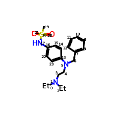 CCN(CC)CCN(Cc1ccccc1)c1ccc(NS(C)(=O)=O)cc1